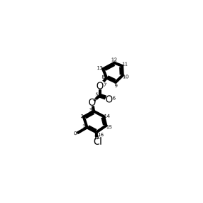 Cc1cc(OC(=O)Oc2ccccc2)ccc1Cl